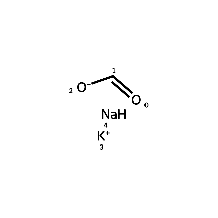 O=C[O-].[K+].[NaH]